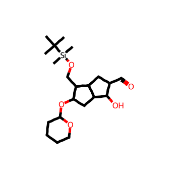 CC(C)(C)[Si](C)(C)OCC1C(OC2CCCCO2)CC2C(O)C(C=O)CC12